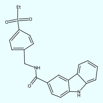 CCS(=O)(=O)c1ccc(CNC(=O)c2ccc3[nH]c4ccccc4c3c2)cc1